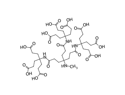 CNC(CCC(=O)NC(CCC(=O)O)(CCC(=O)O)CCC(=O)O)(CCC(=O)NC(CCC(=O)O)(CCC(=O)O)CCC(=O)O)CCC(=O)NC(CCC(=O)O)(CCC(=O)O)CCC(=O)O